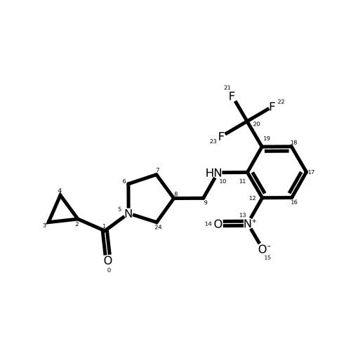 O=C(C1CC1)N1CCC(CNc2c([N+](=O)[O-])cccc2C(F)(F)F)C1